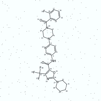 O=C(Nc1ccc(N2CCN(C(=O)c3ccccc3F)CC2)nc1)c1oc(N2CCCCC2)nc1C(F)(F)F